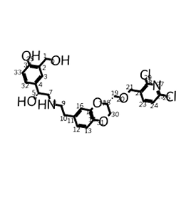 OCc1cc([C@@H](O)CNCCc2ccc3c(c2)O[C@H](COCc2ccc(Cl)nc2Cl)CO3)ccc1O